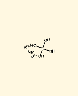 O[Si](O)(O)O.[Al+3].[B+3].[Na+]